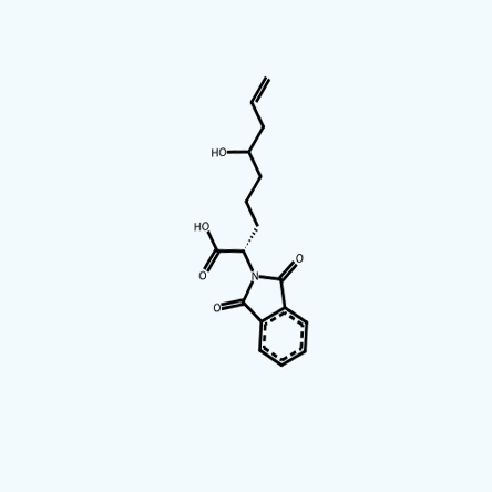 C=CCC(O)CCC[C@@H](C(=O)O)N1C(=O)c2ccccc2C1=O